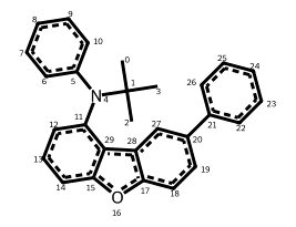 CC(C)(C)N(c1ccccc1)c1cccc2oc3ccc(-c4ccccc4)cc3c12